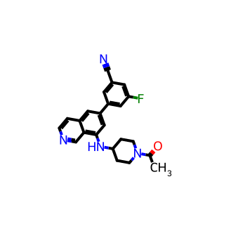 CC(=O)N1CCC(Nc2cc(-c3cc(F)cc(C#N)c3)cc3ccncc23)CC1